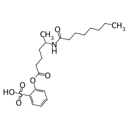 CCCCCCCC(=O)NC(C)CCCC(=O)Oc1ccccc1S(=O)(=O)O